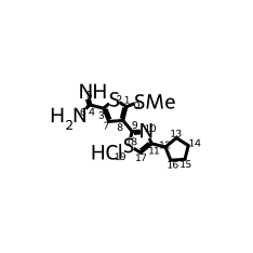 CSc1sc(C(=N)N)cc1-c1nc(C2CCCC2)cs1.Cl